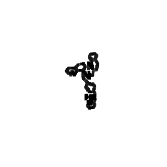 c1ccc(CNCc2ccc(CN(Cc3ccc4ccccc4n3)C3CCCc4cccnc43)cc2)nc1